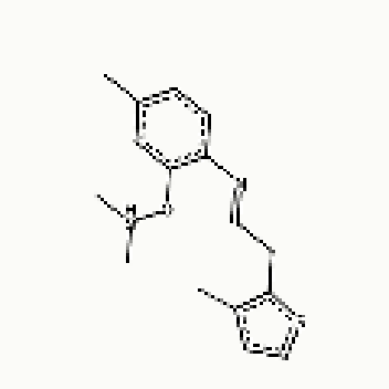 Cc1ccc(N=CCc2sccc2C)c(O[SiH](C)C)c1